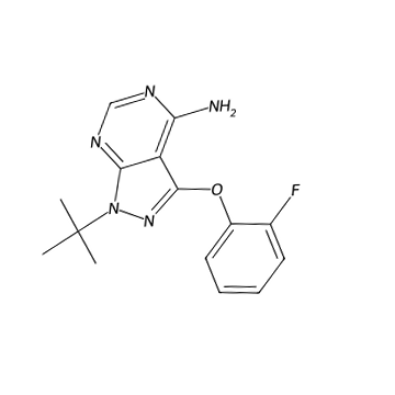 CC(C)(C)n1nc(Oc2ccccc2F)c2c(N)ncnc21